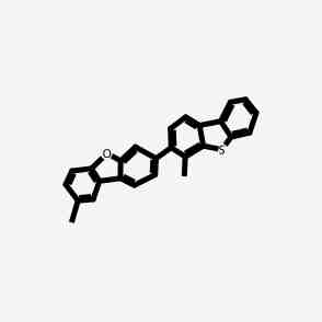 Cc1ccc2oc3cc(-c4ccc5c(sc6ccccc65)c4C)ccc3c2c1